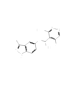 Cc1cnnc(C)c1[C@@H](C)Oc1ccc2[nH]nc(I)c2c1